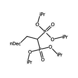 CCCCCCCCCCCC(P(=O)(OC(C)C)OC(C)C)P(=O)(OC(C)C)OC(C)C